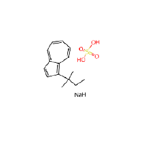 CCC(C)(C)c1ccc2cccccc1-2.O=S(=O)(O)O.[NaH]